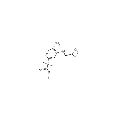 COC(=O)C(C)(C)c1ccc(N)c(NC[C@@H]2CCO2)c1